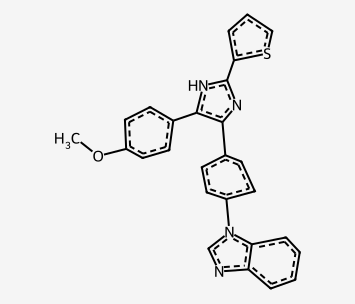 COc1ccc(-c2[nH]c(-c3cccs3)nc2-c2ccc(-n3cnc4ccccc43)cc2)cc1